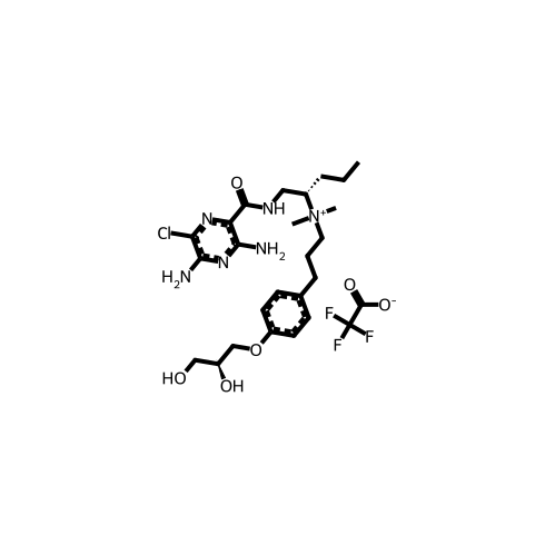 CCC[C@@H](CNC(=O)c1nc(Cl)c(N)nc1N)[N+](C)(C)CCCc1ccc(OC[C@@H](O)CO)cc1.O=C([O-])C(F)(F)F